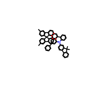 Cc1ccc2c(c1)-c1ccccc1C21c2ccc(C)cc2-c2cccc(-c3cc(-c4ccccc4)cc(N(c4ccc5c(c4)C(C)(C)c4ccccc4-5)c4ccccc4-c4ccccc4)c3)c21